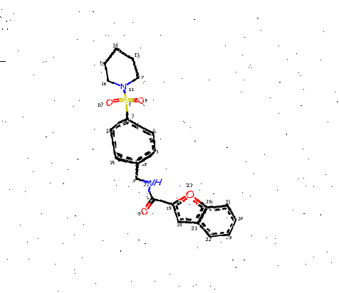 O=C(NCc1ccc(S(=O)(=O)N2CCCCC2)cc1)c1cc2ccccc2o1